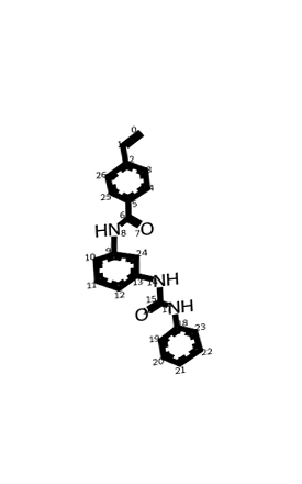 C=Cc1ccc(C(=O)Nc2cccc(NC(=O)Nc3ccccc3)c2)cc1